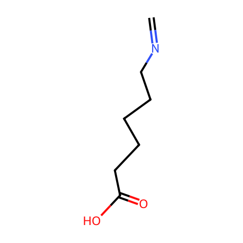 C=NCCCCCC(=O)O